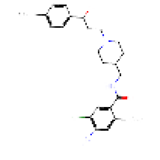 COc1ccc(C(O)CCN2CCC(CNC(=O)c3cc(Cl)c(N)cc3OC)CC2)cc1